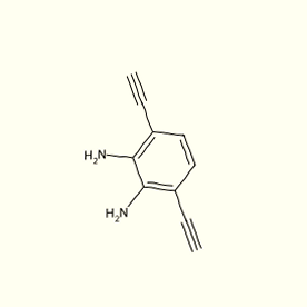 C#Cc1ccc(C#C)c(N)c1N